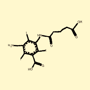 Nc1c(I)c(NC(=O)CCCC(=O)O)c(I)c(C(=O)O)c1I